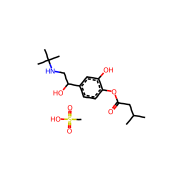 CC(C)CC(=O)Oc1ccc(C(O)CNC(C)(C)C)cc1O.CS(=O)(=O)O